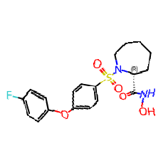 O=C(NO)[C@H]1CCCCCN1S(=O)(=O)c1ccc(Oc2ccc(F)cc2)cc1